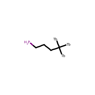 PCCC[C]([Tb])([Tb])[Tb]